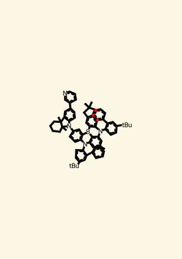 Cc1cc2c3c(c1)N(c1ccc(C(C)(C)C)cc1-c1ccccc1)c1cc4c(cc1B3c1cc(N3c5ccc(-c6cccnc6)cc5C5(C)CCCCC35C)ccc1N2c1ccc(C(C)(C)C)cc1-c1ccccc1)CC(C)(C)C4